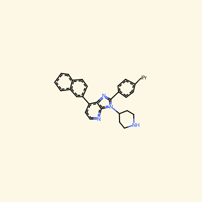 CC(C)c1ccc(-c2nc3c(-c4ccc5ccccc5c4)ccnc3n2C2CCNCC2)cc1